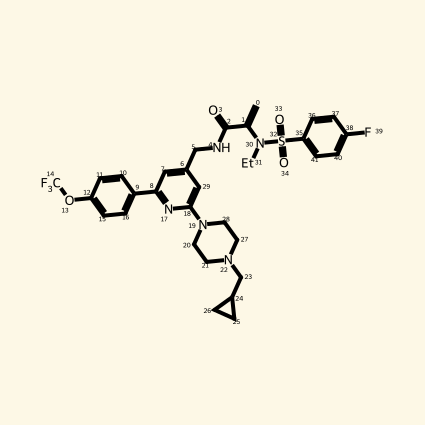 C=C(C(=O)NCc1cc(-c2ccc(OC(F)(F)F)cc2)nc(N2CCN(CC3CC3)CC2)c1)N(CC)S(=O)(=O)c1ccc(F)cc1